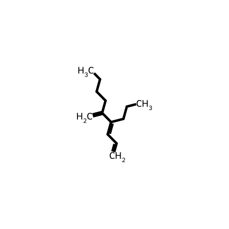 C=C/C=C(\CCC)C(=C)CCCC